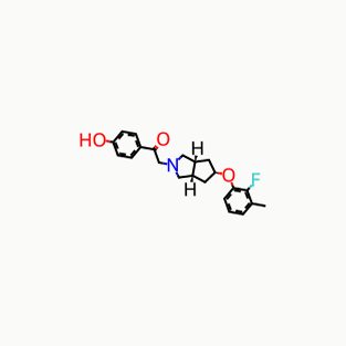 Cc1cccc(O[C@H]2C[C@@H]3CN(CC(=O)c4ccc(O)cc4)C[C@@H]3C2)c1F